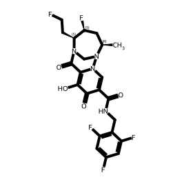 C[C@@H]1C[C@H](F)[C@H](CCF)N2CN1n1cc(C(=O)NCc3c(F)cc(F)cc3F)c(=O)c(O)c1C2=O